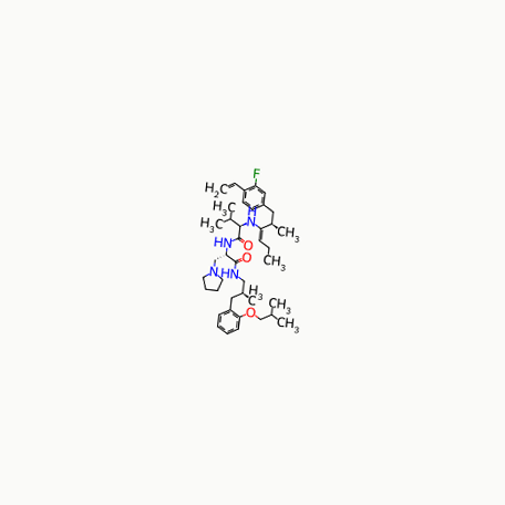 C=Cc1ccc(C[C@@H](C)/C(=C\CC)N[C@@H](C(=O)N[C@@H](CN2CCCC2)C(=O)NC[C@@H](C)Cc2ccccc2OCC(C)C)C(C)C)cc1F